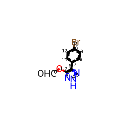 O=COc1n[nH]nc1-c1ccc(Br)cc1